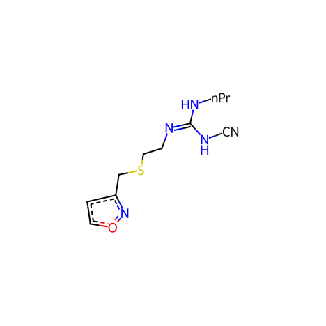 CCCN/C(=N/CCSCc1ccon1)NC#N